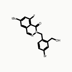 CC(C)(C)c1cc(F)c2c(=O)n(Cc3ccc(Br)cc3CO)ncc2c1